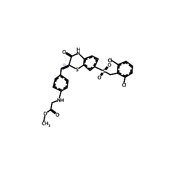 COC(=O)CNc1ccc(/C=C2\Sc3cc(S(=O)(=O)Cc4c(Cl)cccc4Cl)ccc3NC2=O)cc1